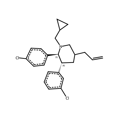 C=CCC1C[C@H](c2cccc(Cl)c2)[C@@H](c2ccc(Cl)cc2)N(CC2CC2)C1